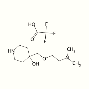 CN(C)CCOCC1(O)CCNCC1.O=C(O)C(F)(F)F